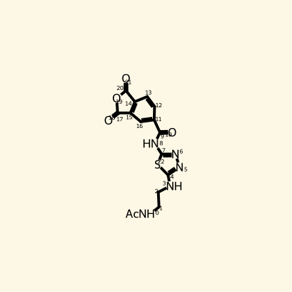 CC(=O)NCCNc1nnc(NC(=O)c2ccc3c(c2)C(=O)OC3=O)s1